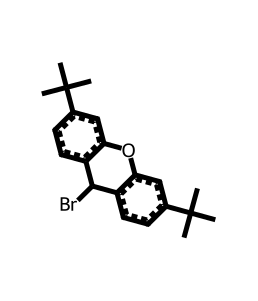 CC(C)(C)c1ccc2c(c1)Oc1cc(C(C)(C)C)ccc1C2Br